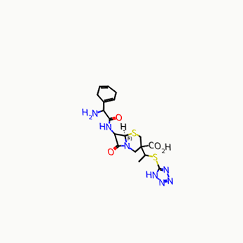 CC(Sc1nnn[nH]1)C1(C(=O)O)CS[C@@H]2C(NC(=O)C(N)C3=CCC=CC3)C(=O)N2C1